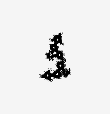 Cc1cc(C)c(-c2ccc3c(c2)c2ccc(Oc4ccc5c6cc(-c7c(C)cc(C)cc7C)ccc6n6ccnc6c5c4)cc2c2nccn32)c(C)c1